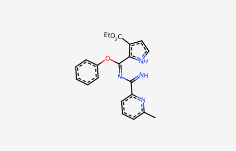 CCOC(=O)c1cc[nH]c1/C(=N\C(=N)c1cccc(C)n1)Oc1ccccc1